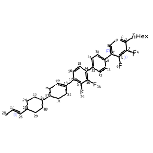 C=C(CCCCCC)/C(F)=C(F)\C(=C/C)c1ccc(-c2ccc(C3=CCC(C4CCC(/C=C/C)CC4)CC3)c(F)c2F)cc1